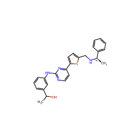 CC(O)c1cccc(Nc2nccc(-c3ccc(CN[C@H](C)c4ccccc4)s3)n2)c1